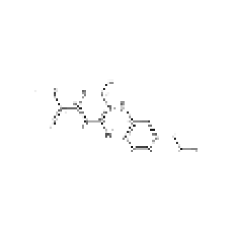 CCCc1ccc(Nc2nc(C)cc(C(=O)OC)n2)c(Br)c1